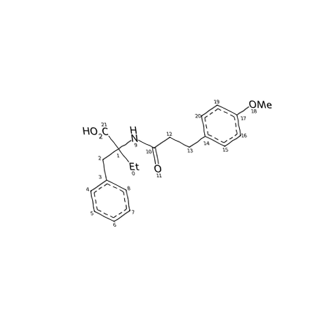 CCC(Cc1ccccc1)(NC(=O)CCc1ccc(OC)cc1)C(=O)O